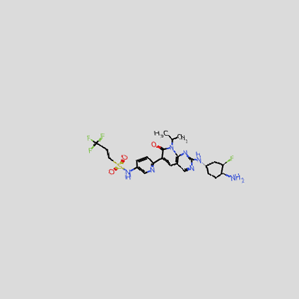 CC(C)n1c(=O)c(-c2ccc(NS(=O)(=O)CCC(F)(F)F)cn2)cc2cnc(N[C@H]3CC[C@H](N)[C@H](F)C3)nc21